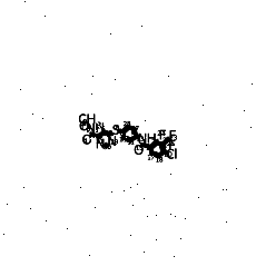 CONC(=O)c1cc(Sc2ccc(NC(=O)c3ccc(Cl)c(C(F)(F)F)c3)cc2)ncn1